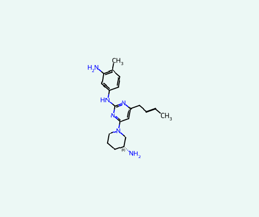 CCCCc1cc(N2CCC[C@@H](N)C2)nc(Nc2ccc(C)c(N)c2)n1